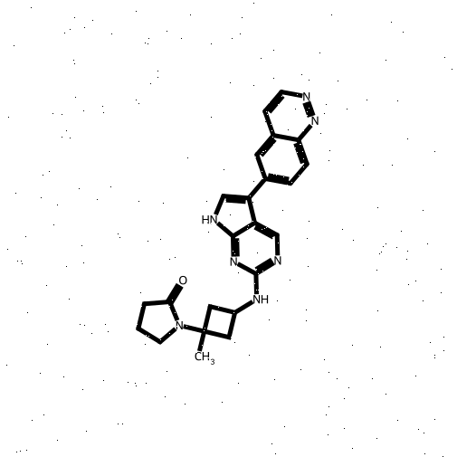 CC1(N2CCCC2=O)CC(Nc2ncc3c(-c4ccc5nnccc5c4)c[nH]c3n2)C1